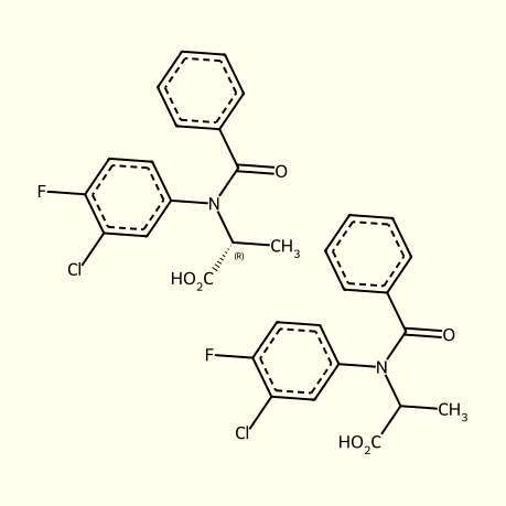 CC(C(=O)O)N(C(=O)c1ccccc1)c1ccc(F)c(Cl)c1.C[C@H](C(=O)O)N(C(=O)c1ccccc1)c1ccc(F)c(Cl)c1